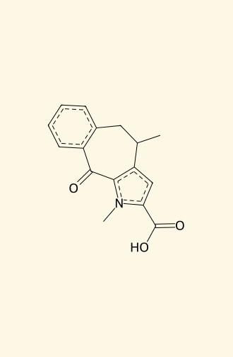 CC1Cc2ccccc2C(=O)c2c1cc(C(=O)O)n2C